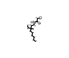 CCCCCCC(C)(CC)CCNC(=O)CCl